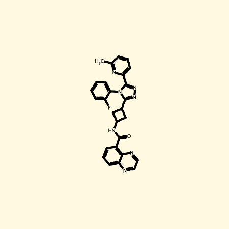 Cc1cccc(-c2nnc(C3CC(NC(=O)c4cccc5nccnc45)C3)n2-c2ccccc2F)n1